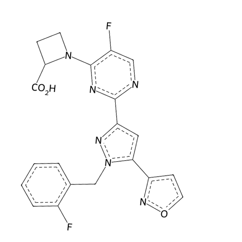 O=C(O)C1CCN1c1nc(-c2cc(-c3ccon3)n(Cc3ccccc3F)n2)ncc1F